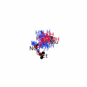 CC(C)(C#N)c1cc(Cn2cncn2)cc(C(C)(C)C#N)c1.CC(C)C[C@H](NC(=O)[C@@H](COC(C)(C)C)NC(=O)[C@H](Cc1ccc(O)cc1)NC(=O)[C@H](CO)NC(=O)[C@H](Cc1c[nH]c2ccccc12)NC(=O)[C@H](Cc1c[nH]cn1)NC(=O)[C@@H]1CCC(=O)N1)C(=O)N[C@@H](CCCNC(=N)N)C(=O)N1CCC[C@H]1C(=O)NNC(N)=O.CC/C(=C(\c1ccccc1)c1ccc(OCCN(C)C)cc1)c1ccccc1